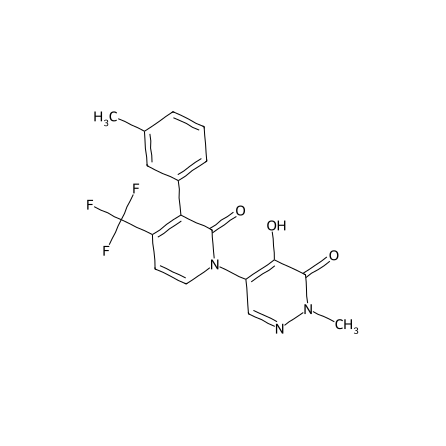 Cc1cccc(-c2c(C(F)(F)F)ccn(-c3cnn(C)c(=O)c3O)c2=O)c1